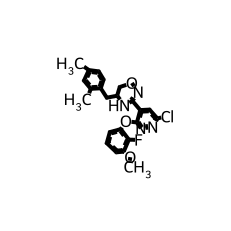 COc1cccc(Oc2nnc(Cl)cc2C2=NOCC(Cc3ccc(C)cc3C)N2)c1F